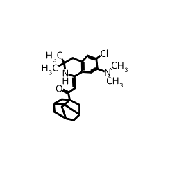 CN(C)c1cc2c(cc1Cl)CC(C)(C)N/C2=C\C(=O)C12CC3CC(CC(C3)C1)C2